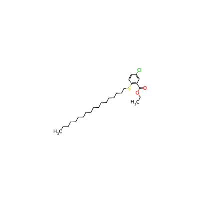 CCCCCCCCCCCCCCCCCCSc1ccc(Cl)cc1C(=O)OCC